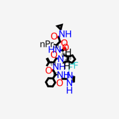 C=C(C)[C@H](NC(=O)[C@@H](NC(=O)c1ncc[nH]1)C1CCCCC1)C(=O)N1C[C@H]2[C@H](CCC2(F)F)[C@H]1C(=O)N[C@@H](CCC)C(=O)C(=O)NC1CC1